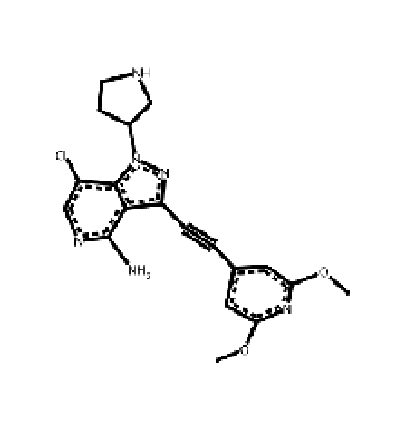 COc1cc(C#Cc2nn(C3CCNC3)c3c(Cl)cnc(N)c23)cc(OC)n1